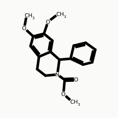 COC(=O)N1CCc2cc(OC)c(OC)cc2C1c1ccccc1